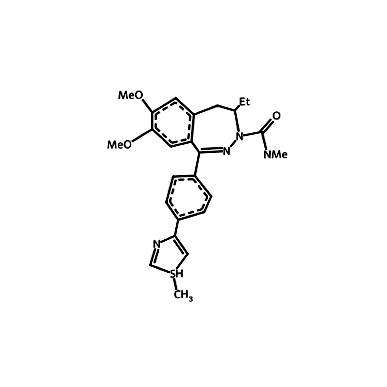 CCC1Cc2cc(OC)c(OC)cc2C(c2ccc(C3=C[SH](C)C=N3)cc2)=NN1C(=O)NC